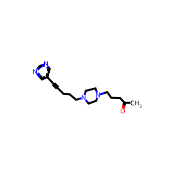 CC(=O)CCCN1CCN(CCCC#Cc2cncnc2)CC1